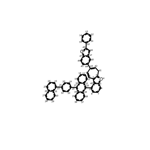 C1=Cc2c(oc3cccc(-c4c5ccccc5c(-c5ccc(-c6cccc7ccccc67)cc5)c5ccccc45)c23)CC=C1c1ccc2oc(-c3ccccc3)cc2c1